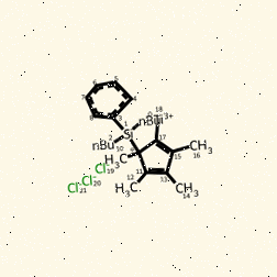 CCCC[Si](CCCC)(c1ccccc1)C1(C)C(C)=C(C)C(C)=[C]1[Ti+3].[Cl-].[Cl-].[Cl-]